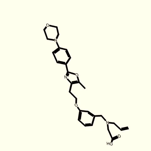 C=CCN(CC(=O)O)Cc1cccc(OCCc2nc(-c3ccc(N4CCOCC4)cc3)oc2C)c1